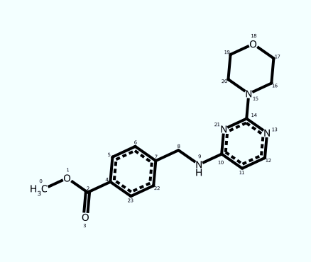 COC(=O)c1ccc(CNc2ccnc(N3CCOCC3)n2)cc1